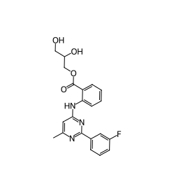 Cc1cc(Nc2ccccc2C(=O)OCC(O)CO)nc(-c2cccc(F)c2)n1